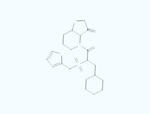 O=C1COC2CCCN(C(=O)C(CC3CCCCC3)S(=O)(=O)Cc3ccco3)C12